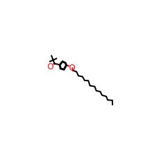 CCCCCCCCCCCCCCCOc1ccc(C(=O)C(C)(C)C)cc1